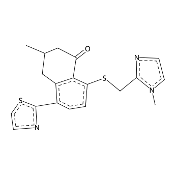 CC1CC(=O)c2c(SCc3nccn3C)ccc(-c3nccs3)c2C1